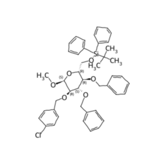 CO[C@H]1O[C@H](CO[Si](c2ccccc2)(c2ccccc2)C(C)(C)C)[C@@H](OCc2ccccc2)[C@H](OCc2ccccc2)[C@H]1OCc1ccc(Cl)cc1